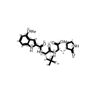 COC(=O)[C@H](C[C@@H]1CCNC1=O)NC(=O)[C@H](CC(C)(C)F)NC(=O)c1cc2c(OC)cccc2[nH]1